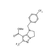 COC(=O)c1c(C(F)(F)F)nn2c1N(Cc1ccc(C(F)(F)F)cc1)CC2